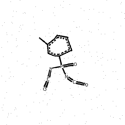 Cc1cccc(P(=O)(N=C=O)N=C=O)c1